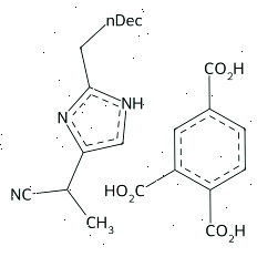 CCCCCCCCCCCc1nc(C(C)C#N)c[nH]1.O=C(O)c1ccc(C(=O)O)c(C(=O)O)c1